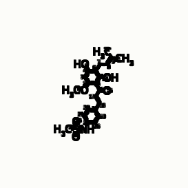 COc1cc(O)c(CC=C(C)C)c(O)c1C(=O)C=Cc1ccc(NS(C)(=O)=O)cc1